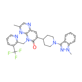 Cc1cnc2cc(C3CCN(c4nn(C)c5ccccc45)CC3)c(=O)n(Cc3ncccc3C(F)(F)F)c2n1